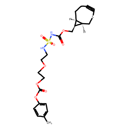 Cc1ccc(OC(=O)OCCOCCNS(=O)(=O)NC(=O)OC[C@@H]2[C@@H]3CCC#CCC[C@@H]32)cc1